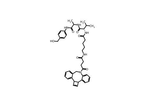 CC(NC(=O)[C@@H](NC(=O)CCCCNC(=O)CCC(=O)N1Cc2ccccc2C2C=CC2c2ccccc21)C(C)C)C(=O)Nc1ccc(CO)cc1